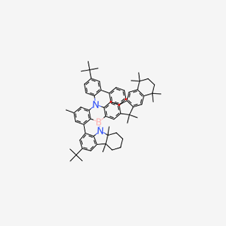 Cc1cc2c3c(c1)N(c1ccc(C(C)(C)C)cc1-c1ccccc1)c1cc4c(cc1B3N1c3c-2cc(C(C)(C)C)cc3C2(C)CCCCC12C)C(C)(C)c1cc2c(cc1-4)C(C)(C)CCC2(C)C